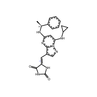 C[C@H](Nc1cc(NC2CC2)n2ncc(/C=C3\NC(=O)NC3=O)c2n1)c1ccccc1